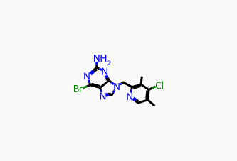 Cc1cnc(Cn2cnc3c(Br)nc(N)nc32)c(C)c1Cl